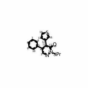 CC(C)n1ncc(-c2ccccc2)c(-c2ccsc2)c1=O